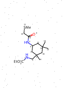 CCOC(=O)NCC1(C)CC(NC(=O)CSC)CC(C)(C)C1